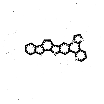 c1ccc2c(c1)sc1c2ccc2c3cc4c(cc3sc21)c1ncccc1c1nccn41